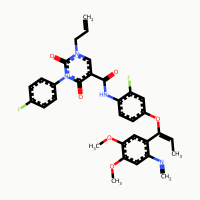 C=CCn1cc(C(=O)Nc2ccc(O/C(=C/C)c3cc(OC)c(OC)cc3N=C)cc2F)c(=O)n(-c2ccc(F)cc2)c1=O